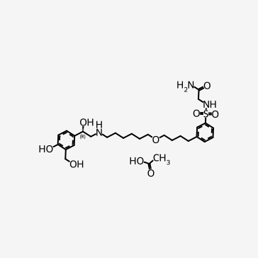 CC(=O)O.NC(=O)CNS(=O)(=O)c1cccc(CCCCOCCCCCCNC[C@H](O)c2ccc(O)c(CO)c2)c1